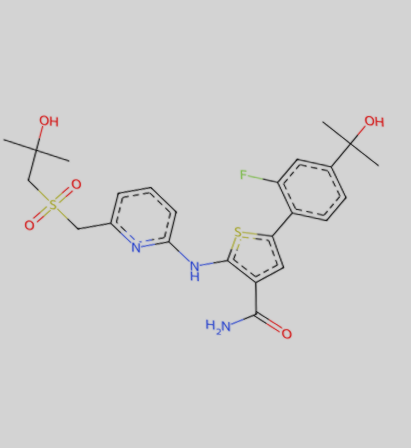 CC(C)(O)CS(=O)(=O)Cc1cccc(Nc2sc(-c3ccc(C(C)(C)O)cc3F)cc2C(N)=O)n1